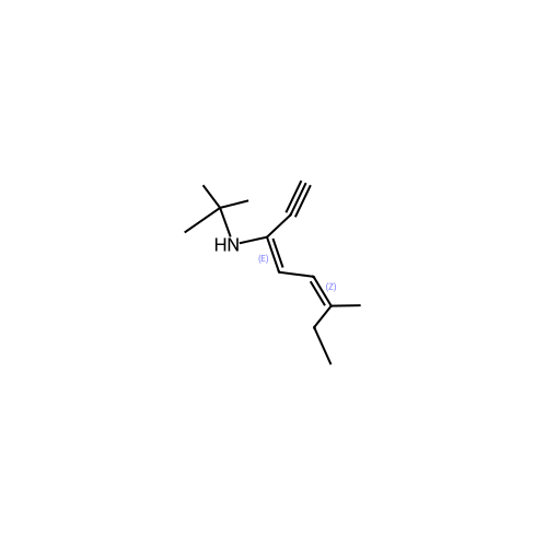 C#C/C(=C\C=C(\C)CC)NC(C)(C)C